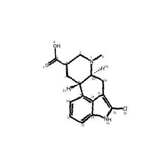 CN1CC(C(=O)O)C[C@H]2c3cccc4[nH]c(Cl)c(c34)C[C@@H]21